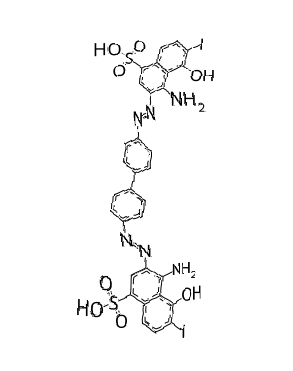 Nc1c(N=Nc2ccc(-c3ccc(N=Nc4cc(S(=O)(=O)O)c5ccc(I)c(O)c5c4N)cc3)cc2)cc(S(=O)(=O)O)c2ccc(I)c(O)c12